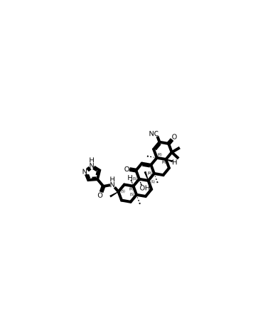 CC1(C)C(=O)C(C#N)=C[C@]2(C)C3=CC(=O)[C@]4(O)[C@@H]5C[C@@](C)(NC(=O)c6cn[nH]c6)CC[C@]5(C)CC[C@@]4(C)[C@]3(C)CC[C@@H]12